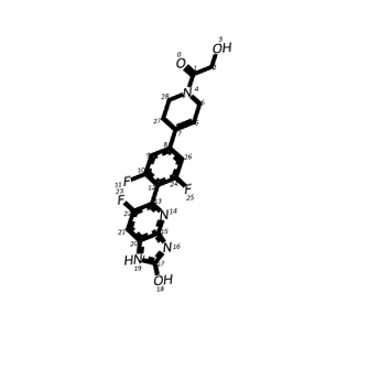 O=C(CO)N1CC=C(c2cc(F)c(-c3nc4nc(O)[nH]c4cc3F)c(F)c2)CC1